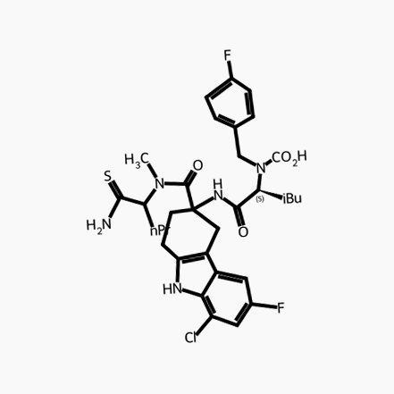 CCCC(C(N)=S)N(C)C(=O)C1(NC(=O)[C@H](C(C)CC)N(Cc2ccc(F)cc2)C(=O)O)CCc2[nH]c3c(Cl)cc(F)cc3c2C1